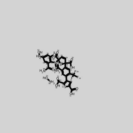 NC(=O)c1cc(-c2cc(C(=O)O)sc2C(=O)O)c(C(F)(F)F)cc1C1(C(=O)O)C=CC(C(=O)O)(N(O)c2c(Cl)cc(NO)cc2C(N)=O)S1.NO